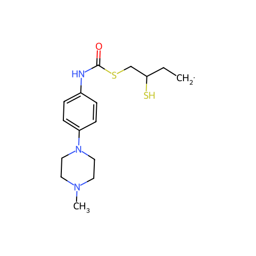 [CH2]CC(S)CSC(=O)Nc1ccc(N2CCN(C)CC2)cc1